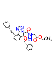 CCOC(=O)CNC(=O)c1c(OCc2ccccc2)c2cccc(C#Cc3ccccc3)c2c2ncnn12